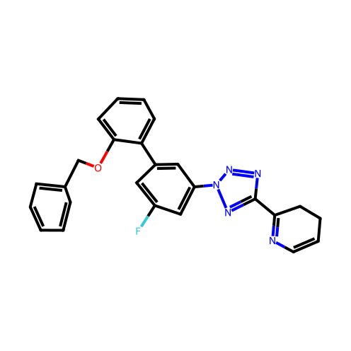 Fc1cc(-c2ccccc2OCc2ccccc2)cc(-n2nnc(C3=NC=CCC3)n2)c1